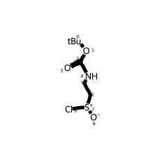 CC(C)(C)OC(=O)NCC[S+]([O-])Cl